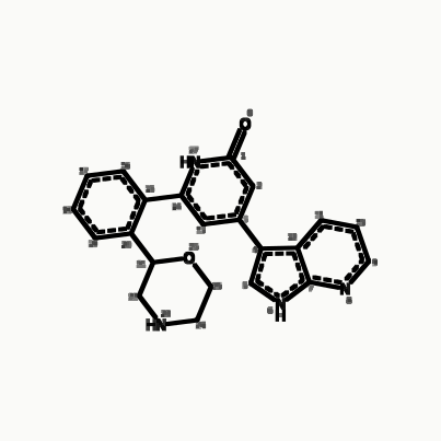 O=c1cc(-c2c[nH]c3ncccc23)cc(-c2ccccc2C2CNCCO2)[nH]1